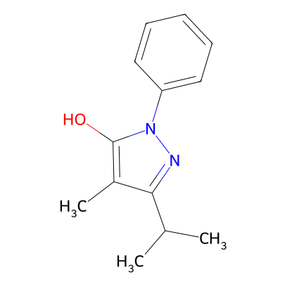 Cc1c(C(C)C)nn(-c2ccccc2)c1O